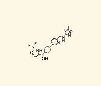 Cc1nc(NCc2ccc(-c3ccc([C@H](O)[C@@H](CF)NC(=O)C(F)F)cc3)cn2)no1